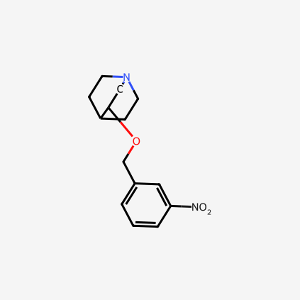 O=[N+]([O-])c1cccc(COC2CN3CCC2CC3)c1